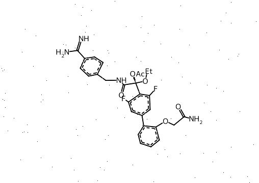 CCO[C@@](OC(C)=O)(C(=O)NCc1ccc(C(=N)N)cc1)c1c(F)cc(-c2ccccc2OCC(N)=O)cc1F